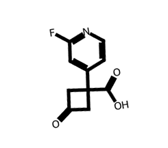 O=C1CC(C(=O)O)(c2ccnc(F)c2)C1